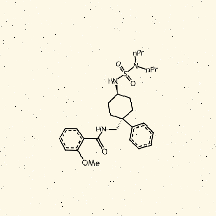 CCCN(CCC)S(=O)(=O)N[C@H]1CC[C@@](CNC(=O)c2ccccc2OC)(c2ccccc2)CC1